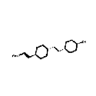 CCCCCC=C[C@H]1CC[C@H](CC[C@H]2CC[C@H](C#N)CC2)CC1